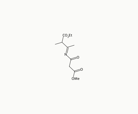 CCOC(=O)C(C)/C(C)=N/C(=O)CC(=O)OC